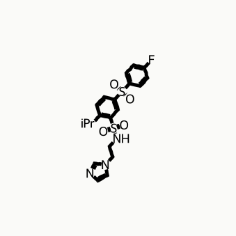 CC(C)c1ccc(S(=O)(=O)c2ccc(F)cc2)cc1S(=O)(=O)NCCn1ccnc1